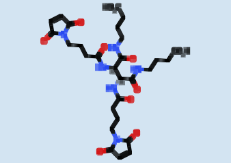 O=C(O)CCCNC(=O)[C@H](NC(=O)CCCN1C(=O)C=CC1=O)[C@@H](NC(=O)CCCN1C(=O)C=CC1=O)C(=O)NCCCC(=O)O